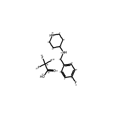 Fc1ccc(CNC2CCNCC2)cc1.O=C(O)C(F)(F)F